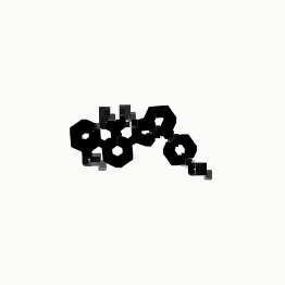 Cc1cccnc1[C@@H]1CCC[C@H](C2CN3C(N4CCN(C)CC4)=CC=CC3=N2)N1C(C)C